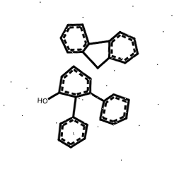 Oc1cccc(-c2ccccc2)c1-c1ccccc1.c1ccc2c(c1)Cc1ccccc1-2